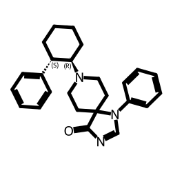 O=C1N=CN(c2ccccc2)C12CCN([C@@H]1CCCC[C@H]1c1ccccc1)CC2